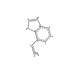 C=Cc1cccc2c1C[C]=C2